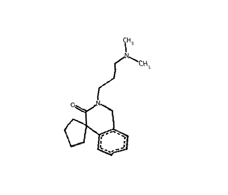 CN(C)CCCN1Cc2ccccc2C2(CCCC2)C1=O